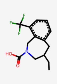 CCC1Cc2cccc(C(F)(F)F)c2CN(C(=O)O)C1